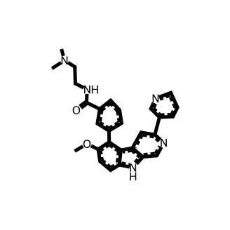 COc1ccc2[nH]c3cnc(-c4cccnc4)cc3c2c1-c1cccc(C(=O)NCCN(C)C)c1